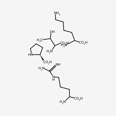 CC(O)C(N)C(=O)O.N=C(N)NCCCC(N)C(=O)O.NCCCCC(N)C(=O)O.O=C(O)[C@@H]1CCCN1